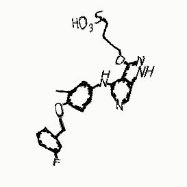 Cc1cc(Nc2cncc3[nH]nc(OCCCS(=O)(=O)O)c23)ccc1OCc1cccc(F)c1